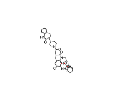 CN1C2CCC1CC(N1CCN(C(=O)C(CC(=O)N3CCC(N4CCc5ccccc5NC4=O)CC3)Cc3cc(Cl)c(N)c(C(F)(F)F)c3)CC1)C2